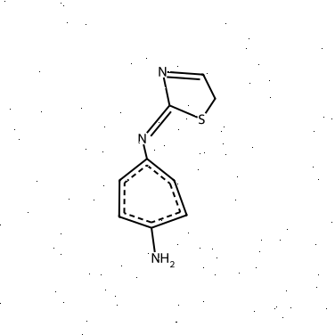 Nc1ccc(N=C2N=CCS2)cc1